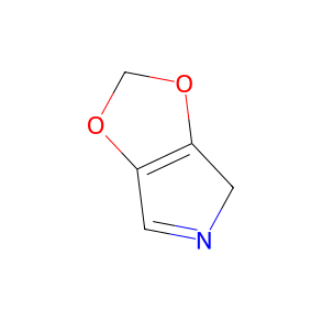 C1=NCC2=C1OCO2